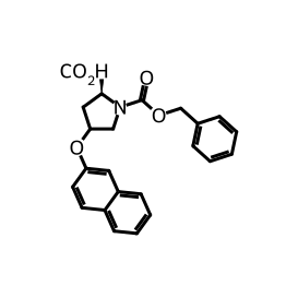 O=C(O)[C@@H]1CC(Oc2ccc3ccccc3c2)CN1C(=O)OCc1ccccc1